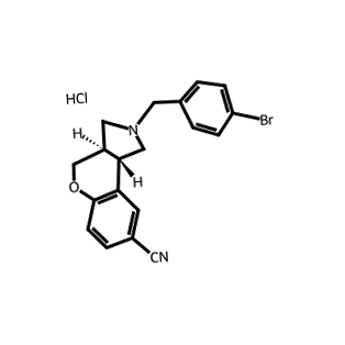 Cl.N#Cc1ccc2c(c1)[C@H]1CN(Cc3ccc(Br)cc3)C[C@@H]1CO2